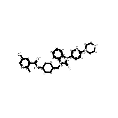 Cc1ncc(Cl)cc1C(=O)NC1CCC(Cn2c(=O)n(-c3ccc(N4CCOCC4)nc3)c3ccccc32)CC1